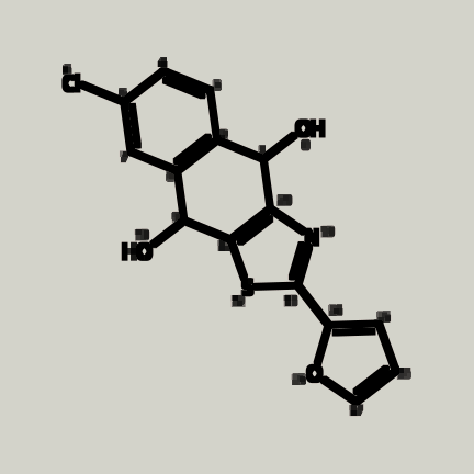 OC1c2ccc(Cl)cc2C(O)c2sc(-c3ccco3)nc21